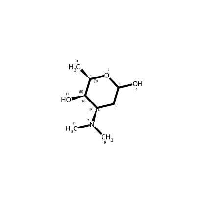 C[C@H]1OC(O)C[C@@H](N(C)C)[C@H]1O